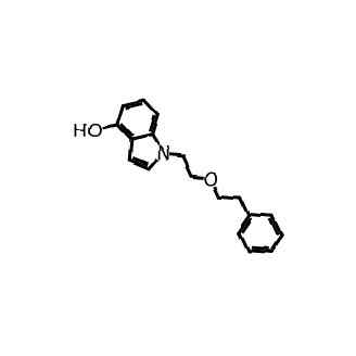 Oc1cccc2c1ccn2CCOCCc1ccccc1